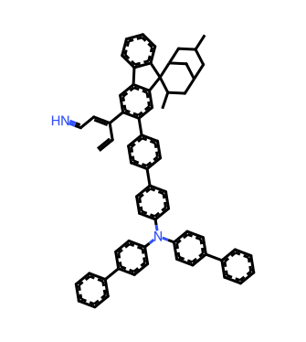 C=C/C(=C\C=N)c1cc2c(cc1-c1ccc(-c3ccc(N(c4ccc(-c5ccccc5)cc4)c4ccc(-c5ccccc5)cc4)cc3)cc1)C1(c3ccccc3-2)C(C)CC2CC(C)CC1C2